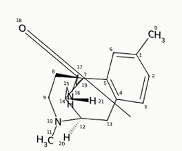 Cc1ccc2c(c1)[C@]13CCN(C)[C@H](C2)[C@@H]1CNC(=O)C3